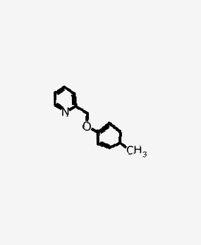 CC1C=CC(OCc2ccccn2)=CC1